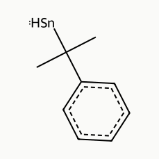 C[C](C)([SnH])c1ccccc1